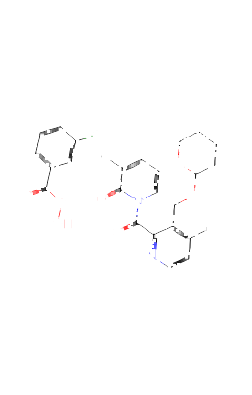 Cc1ccnc(C(=O)n2cccc(C(F)(F)F)c2=O)c1COC1CCCCO1.O=C(OO)c1cccc(Cl)c1